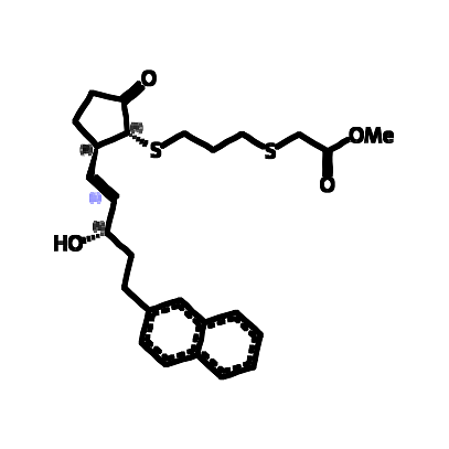 COC(=O)CSCCCS[C@H]1C(=O)CC[C@@H]1/C=C/[C@@H](O)CCc1ccc2ccccc2c1